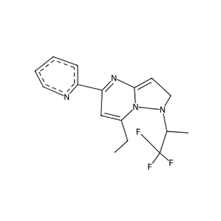 CCC1=CC(c2ccccn2)=NC2=CCN(C(C)C(F)(F)F)N12